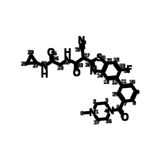 CN1CCN(C(=O)c2cccc(-c3cc4nc(C(C#N)C(=O)NCC(=O)NC5CC5)sc4cc3F)c2)CC1